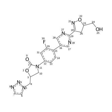 O=C1OC(Cn2ccnn2)CN1c1ccc(-c2cnc(C3=NOC(CO)C3)nc2)c(F)c1